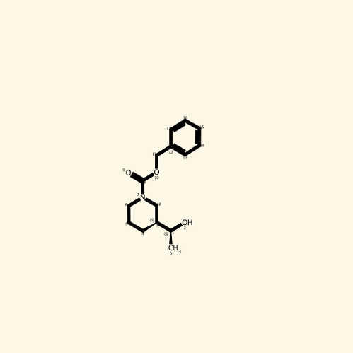 C[C@H](O)[C@H]1CCCN(C(=O)OCc2ccccc2)C1